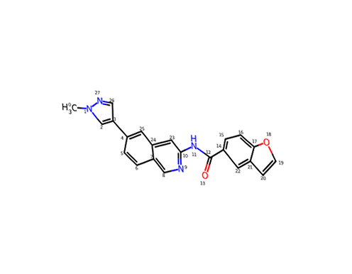 Cn1cc(-c2ccc3cnc(NC(=O)c4ccc5occc5c4)cc3c2)cn1